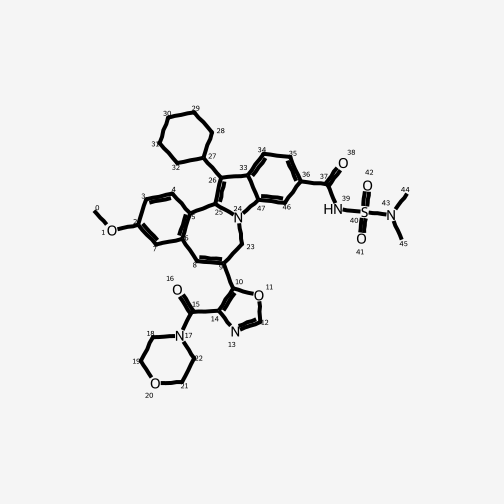 COc1ccc2c(c1)C=C(c1ocnc1C(=O)N1CCOCC1)Cn1c-2c(C2CCCCC2)c2ccc(C(=O)NS(=O)(=O)N(C)C)cc21